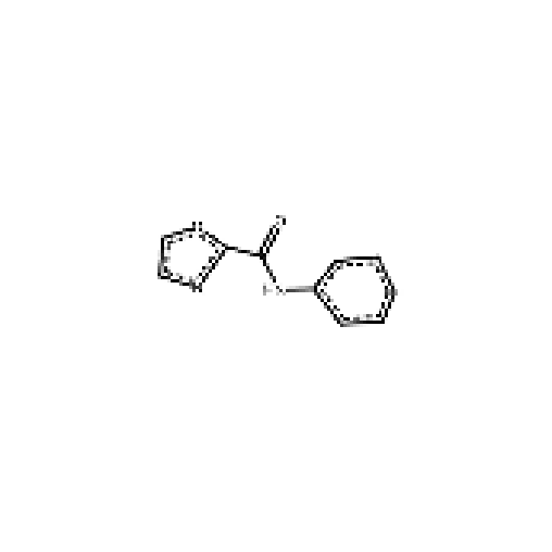 O=C(Nc1cc[c]cc1)c1ncco1